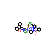 CSc1nc2c(NC(=O)c3ccccc3-c3ccc(C(F)(F)F)cc3)cccc2n1CCCCC1(C(=O)NCC(F)(F)F)c2ccccc2-c2ccccc21